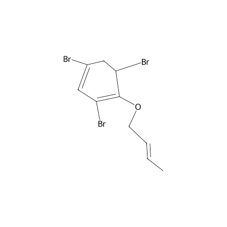 C/C=C/COC1=C(Br)C=C(Br)CC1Br